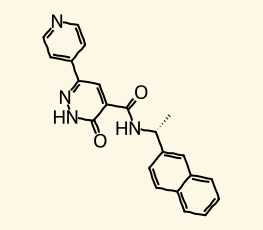 C[C@@H](NC(=O)c1cc(-c2ccncc2)n[nH]c1=O)c1ccc2ccccc2c1